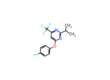 CC(C)c1nc(Oc2ccc(F)cc2)cc(C(F)(F)F)n1